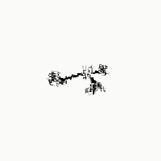 CCO[Si](CCCCCCCC[SiH2]C(NCCC[Si](OCC)(OCC)OCC)NCCC[Si](OCC)(OCC)OCC)(OCC)OCC